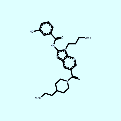 COCCCn1c(NC(=O)c2cccc(C#N)c2)nc2cc(C(=O)N3CCC(CCOC)CC3)cnc21